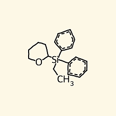 CC[Si](c1ccccc1)(c1ccccc1)C1CCCCO1